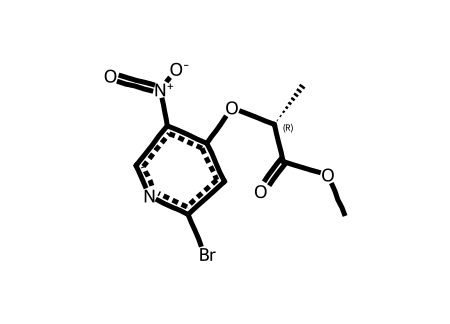 COC(=O)[C@@H](C)Oc1cc(Br)ncc1[N+](=O)[O-]